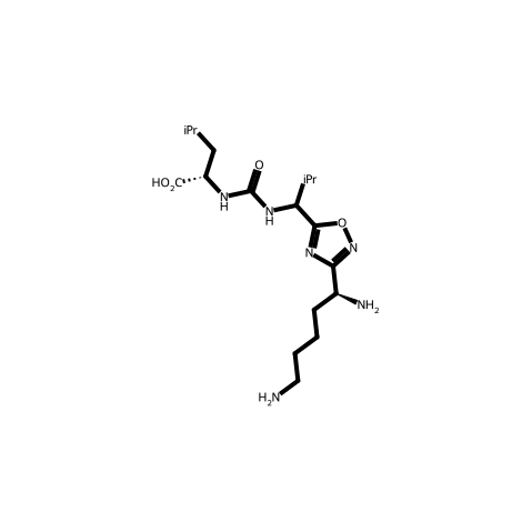 CC(C)C[C@H](NC(=O)NC(c1nc([C@@H](N)CCCCN)no1)C(C)C)C(=O)O